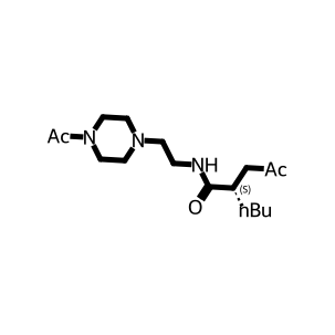 CCCC[C@@H](CC(C)=O)C(=O)NCCN1CCN(C(C)=O)CC1